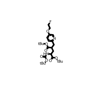 CC(C)(C)OC(=O)NC(CC(Cc1ccc(OCCF)cn1)C(=O)OC(C)(C)C)C(=O)OC(C)(C)C